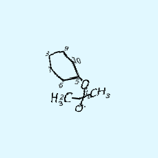 CC(C)([O])OC1CCCCC1